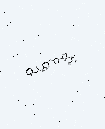 CC(C)C(O)Nc1nnc([C@H]2CC[C@@H](Cc3ccc(NC(=O)Cc4ccccn4)nn3)C2)s1